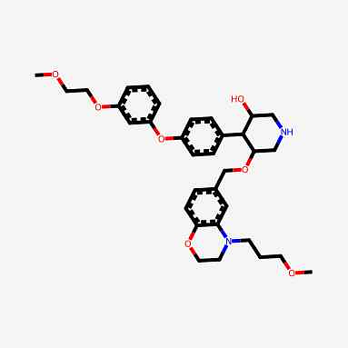 COCCCN1CCOc2ccc(COC3CNCC(O)C3c3ccc(Oc4cccc(OCCOC)c4)cc3)cc21